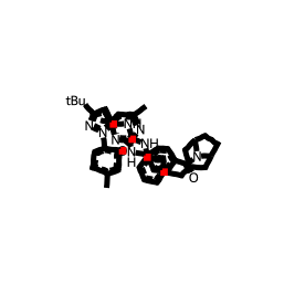 Cc1ccc(-n2nc(C(C)(C)C)cc2NC(=O)Nc2cccc(CC3CC4CCC(C3)N4C(=O)c3ccc(Nc4nc(C)cc(C)n4)cc3)c2)cc1